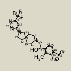 Cc1c(C(O)CN2CCC3(CC2)CCN(c2cc(C(F)(F)F)ncn2)C3)ccc2c1COC2=O